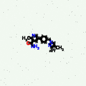 Cc1cn(CC2CCC(c3cnc(C)c(C(N)=O)c3)CC2)nc1C(C)C